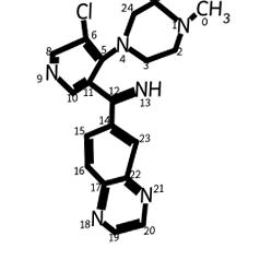 CN1CCN(c2c(Cl)cncc2C(=N)c2ccc3nccnc3c2)CC1